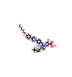 CCCCCCCOc1ccc(-c2cnc(-c3ccc(C[C@H](NC(=O)c4ccc(C(C)(C)C)s4)C(=O)N4CC(C)C(C(=O)O)C4)cc3)nc2)cc1